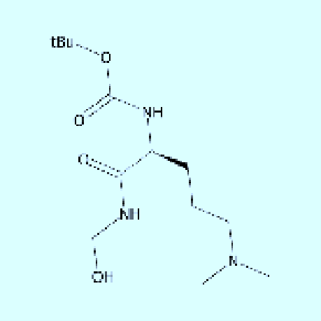 CN(C)CCC[C@H](NC(=O)OC(C)(C)C)C(=O)NCO